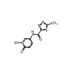 CCn1cc(NC(=O)c2nnc(C)s2)ccc1=O